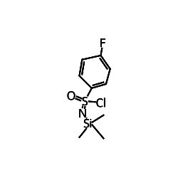 C[Si](C)(C)N=S(=O)(Cl)c1ccc(F)cc1